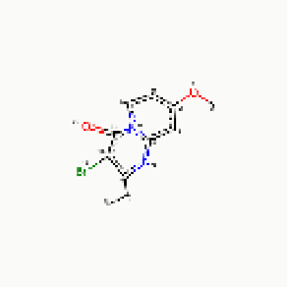 CCc1nc2cc(OC)ccn2c(=O)c1Br